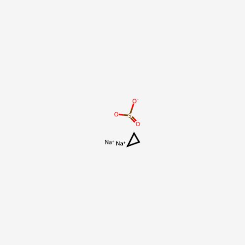 C1CC1.O=S([O-])[O-].[Na+].[Na+]